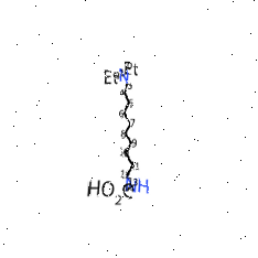 CCN(CC)CCCCCCCCCCNC(=O)O